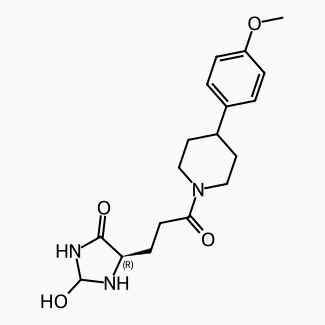 COc1ccc(C2CCN(C(=O)CC[C@H]3NC(O)NC3=O)CC2)cc1